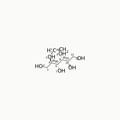 C=C.OC[C@@H](O)[C@@H](O)[C@H](O)[C@@H](O)CO